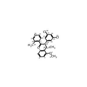 COc1ccccc1[C@@H](C)N(C(=O)c1ccncc1C)c1cc(Cl)cc(Cl)c1